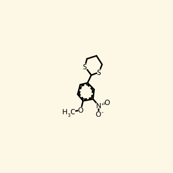 COc1ccc(C2SCCCS2)cc1[N+](=O)[O-]